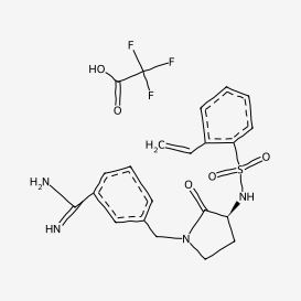 C=Cc1ccccc1S(=O)(=O)N[C@H]1CCN(Cc2cccc(C(=N)N)c2)C1=O.O=C(O)C(F)(F)F